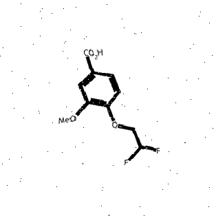 COc1cc(C(=O)O)ccc1OCC(F)F